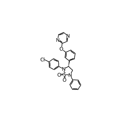 O=S1(=O)N(c2ccccc2)C[C@H](c2cccc(Oc3cnccn3)c2)N1c1ccc(Cl)cc1